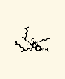 CCCCCCn1c(=O)c(OCC=C(C)CCC=C(C)C)c(OCC=C(C)CCC=C(C)C)c2ccc(N)cc21